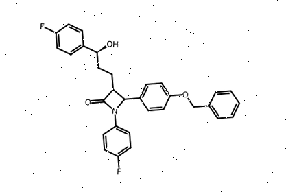 O=C1C(CC[C@H](O)c2ccc(F)cc2)C(c2ccc(OCc3ccccc3)cc2)N1c1ccc(F)cc1